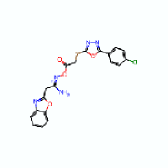 N/C(Cc1nc2ccccc2o1)=N\OC(=O)CSc1nnc(-c2ccc(Cl)cc2)o1